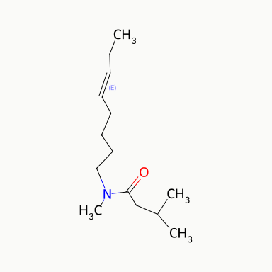 CC/C=C/CCCCN(C)C(=O)CC(C)C